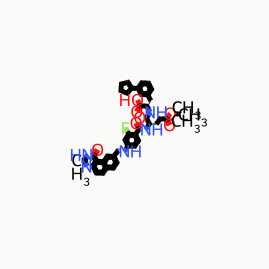 Cc1nc2ccc3ccc(CNc4ccc(C(=O)N[C@@H](CCC(=O)OC(C)(C)C)C(=O)N[C@@H](Cc5cccc(C6CCCC6)c5)C(=O)O)c(F)c4)cc3c2c(=O)[nH]1